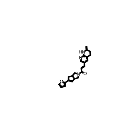 C=C1CCc2cc(/C=C/C(=O)N3CC4C=C(c5ccco5)CC4C3)cnc2N1